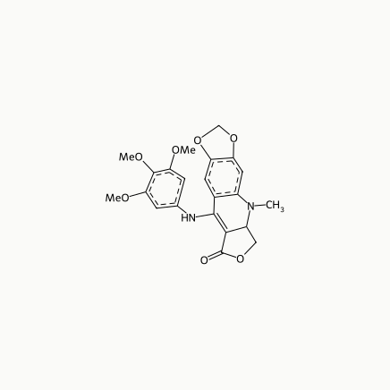 COc1cc(NC2=C3C(=O)OCC3N(C)c3cc4c(cc32)OCO4)cc(OC)c1OC